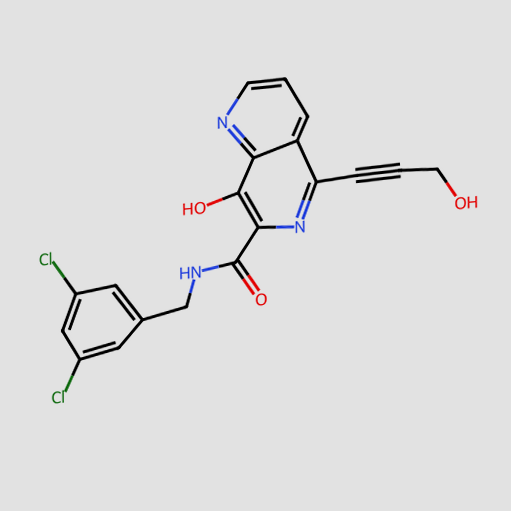 O=C(NCc1cc(Cl)cc(Cl)c1)c1nc(C#CCO)c2cccnc2c1O